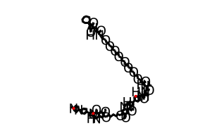 COc1cc2c(cc1OCCCCCOc1cc3c(cc1OC)C(=O)N1C=C(c4ccc(N5CCN(C)CC5)cc4)C[C@H]1C=N3)N=C[C@@H]1CC(c3ccc(NC(=O)[C@H](C)NC(=O)[C@@H](NC(=O)CCOCCOCCOCCOCCOCCOCCOCCOCCNC(=O)CCN4C(=O)CC(C5CCCCCCC5)C4=O)C(C)C)cc3)=CN1C2=O